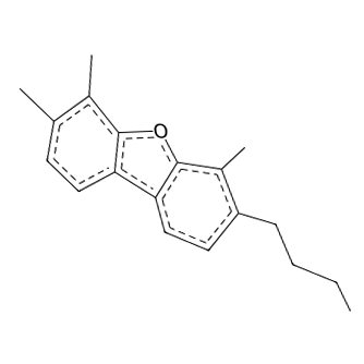 CCCCc1ccc2c(oc3c(C)c(C)ccc32)c1C